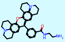 NCCNC(=O)c1cccc(C2=c3cc4c5c(c3Oc3c2cc2c6c3CCCN6CCC2)CCC[N+]=5CCC4)c1